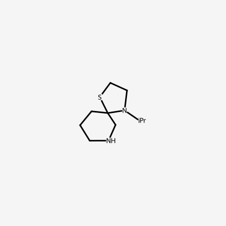 CC(C)N1CCSC12CCCNC2